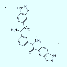 NC(C(=O)c1ccc2[nH]ncc2c1)c1cccc(C(N)C(=O)c2ccc3[nH]ncc3c2)c1